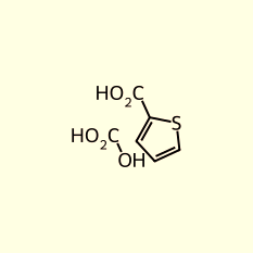 O=C(O)O.O=C(O)c1cccs1